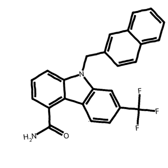 NC(=O)c1cccc2c1c1[c]cc(C(F)(F)F)cc1n2Cc1ccc2ccccc2c1